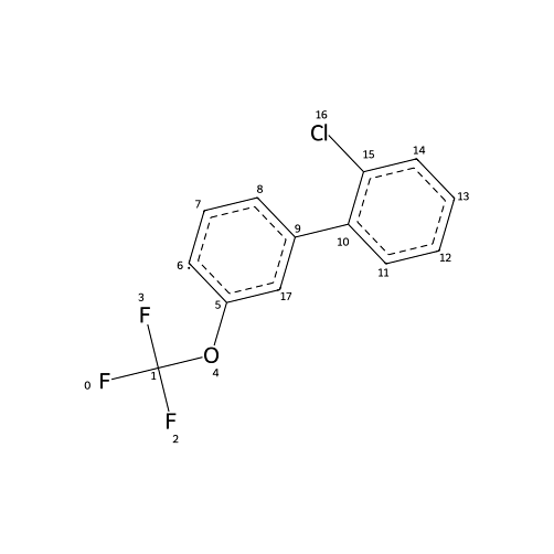 FC(F)(F)Oc1[c]ccc(-c2ccccc2Cl)c1